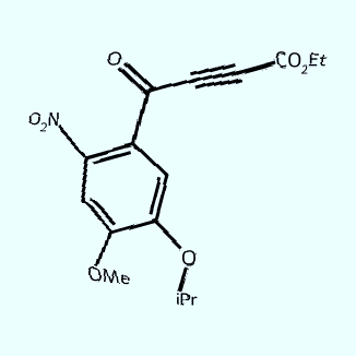 CCOC(=O)C#CC(=O)c1cc(OC(C)C)c(OC)cc1[N+](=O)[O-]